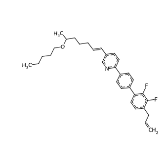 C=CCc1ccc(-c2ccc(-c3ccc(/C=C/CCCC(C)OCCCCC)cn3)cc2)c(F)c1F